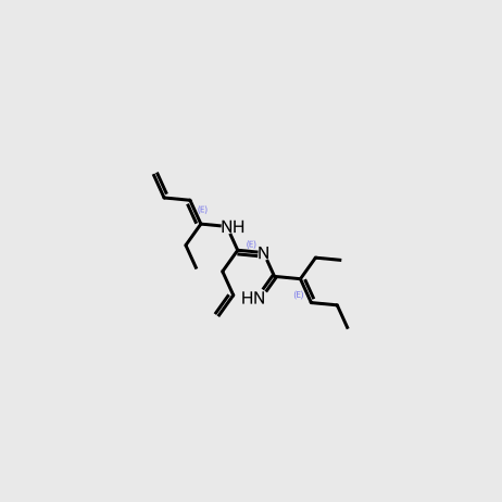 C=C/C=C(\CC)N/C(CC=C)=N/C(=N)/C(=C/CC)CC